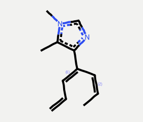 C=C/C=C(\C=C/C)c1ncn(C)c1C